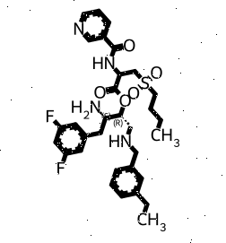 CCCCS(=O)(=O)CC(NC(=O)c1cccnc1)C(=O)O[C@H](CNCc1cccc(CC)c1)[C@@H](N)Cc1cc(F)cc(F)c1